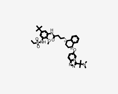 CCS(=O)(=O)Nc1cc(C(C)(C)C)cc(NC(=O)CCC[C@H]2CC[C@@H](Oc3ccc4nnc(C(C)(C)N(C)C)n4c3)c3ccccc32)c1OC